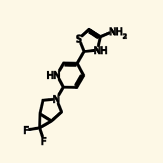 NC1=CSC(C2=CNC(N3CC4C(C3)C4(F)F)C=C2)N1